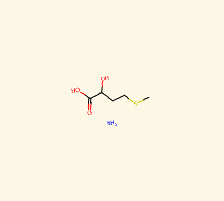 CSCCC(O)C(=O)O.N